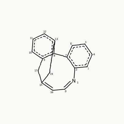 C1=Nc2ccccc2-c2c3cccc2CC(=C1)C3